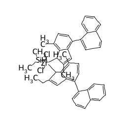 CCC1=Cc2c(-c3cccc4ccccc34)ccc(C)c2[CH]1[Zr]([Cl])([Cl])([CH]1C(C)=Cc2c(-c3cccc4ccccc34)ccc(C)c21)[SiH](C)C